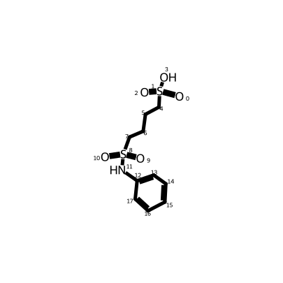 O=S(=O)(O)CCCCS(=O)(=O)Nc1ccccc1